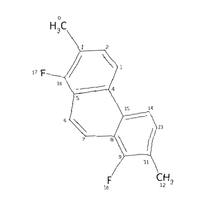 Cc1ccc2c(ccc3c(F)c(C)ccc32)c1F